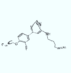 CC(=O)NCCCNc1cc(-c2ccc(OC(F)(F)F)c(F)c2)ncn1